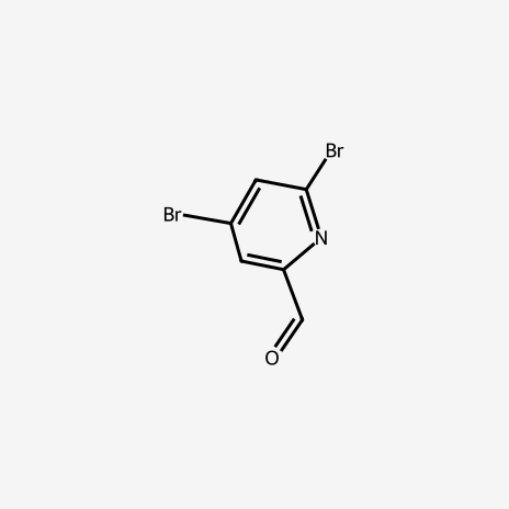 O=Cc1cc(Br)cc(Br)n1